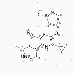 C[C@@H]1CN(c2nc(C3CC3)c(Oc3ccnc(Cl)c3)cc2C#N)CCN1